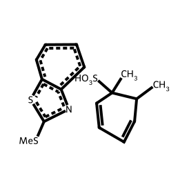 CC1C=CC=CC1(C)S(=O)(=O)O.CSc1nc2ccccc2s1